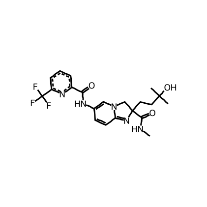 CNC(=O)C1(CCC(C)(C)O)CN2C=C(NC(=O)c3cccc(C(F)(F)F)n3)C=CC2=N1